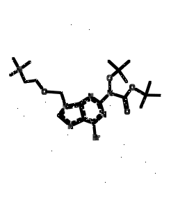 CC(C)(C)OC(=O)N(OC(C)(C)C)c1nc(Br)c2ncn(COCC[Si](C)(C)C)c2n1